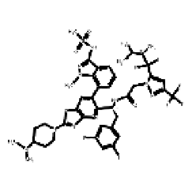 CC(C)[C@@H](C)C(F)(F)c1cc(C(F)(F)F)nn1CC(=O)N[C@@H](Cc1cc(F)cc(F)c1)c1nc2nc(N3CCC(N(C)C)CC3)sc2cc1-c1cccc2c(NS(C)(=O)=O)nn(C)c12